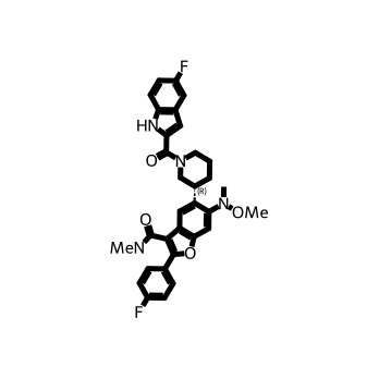 CNC(=O)c1c(-c2ccc(F)cc2)oc2cc(N(C)OC)c([C@H]3CCCN(C(=O)c4cc5cc(F)ccc5[nH]4)C3)cc12